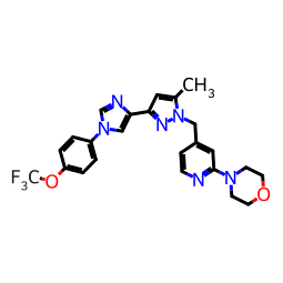 Cc1cc(-c2cn(-c3ccc(OC(F)(F)F)cc3)cn2)nn1Cc1ccnc(N2CCOCC2)c1